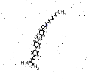 CCCCCCC/C=C/Oc1ccc(OC(=O)c2ccc(-c3ccc(OC[C@@H](C)CC)cc3)cc2)cc1